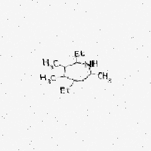 CCC1CC(C)NC(CC)C(C)C1C